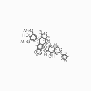 COc1cc([C@@H]2c3cc4c(cc3C(O[C@]3(O)O[C@@H]5CO[C@@H](c6cccs6)OC5C(O)[C@H]3O)[C@H]3COC(=O)C23)OCO4)cc(OC)c1O